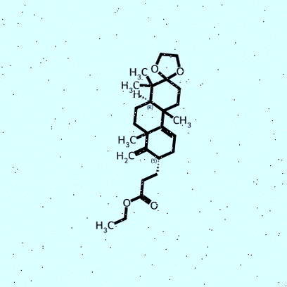 C=C1[C@@H](CCC(=O)OCC)CC=C2C1(C)CC[C@@H]1C2(C)CCC2(OCCO2)C1(C)C